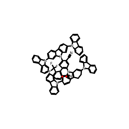 N#Cc1cc(-n2c3c(c4ccc(-n5c6ccccc6c6ccccc65)cc42)CCC(n2c4ccccc4c4ccccc42)=C3)c(-c2c(C#N)cccc2C(F)(F)F)cc1-n1c2cc(-n3c4ccccc4c4ccccc43)ccc2c2ccc(-n3c4ccccc4c4ccccc43)cc21